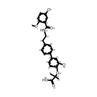 COc1ccc(Cl)cc1C(=O)NCCc1ccc(-c2ccc(OC(C)(C)C(=O)O)c(Cl)c2)cc1